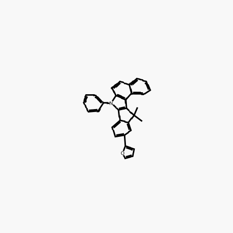 CC1(C)c2cc(-c3ccco3)ccc2-c2c1c1c3ccccc3ccc1n2-c1ccccc1